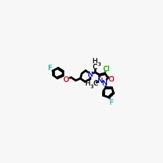 CC(c1c(Cl)c(=O)n(-c2ccc(F)cc2)n1C)N1CCC(CCOc2ccc(F)cc2)CC1